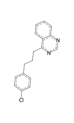 Clc1ccc(CCCc2ncnc3ccccc23)cc1